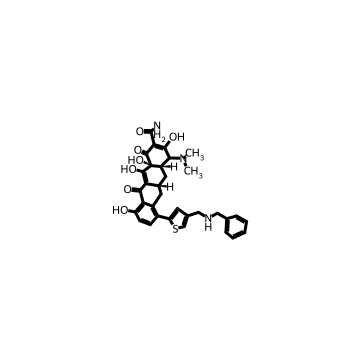 CN(C)C1C(O)=C(C(N)=O)C(=O)[C@@]2(O)C(O)=C3C(=O)c4c(O)ccc(-c5cc(CNCc6ccccc6)cs5)c4C[C@H]3C[C@@H]12